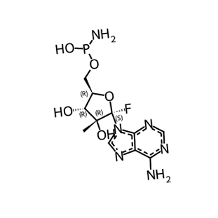 C[C@@]1(O)[C@H](O)[C@@H](COP(N)O)O[C@@]1(F)n1cnc2c(N)ncnc21